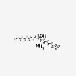 CCCCCCCCCCCC(C)(O)CCCCCCCCCC.N